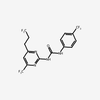 O=C(Nc1ccc(C(F)(F)F)cc1)Nc1nc(CCC(F)(F)F)cc(C(F)(F)F)n1